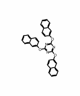 c1ccc2cc(Oc3nc(Oc4ccc5ccccc5c4)nc(Oc4ccc5ccccc5c4)n3)ccc2c1